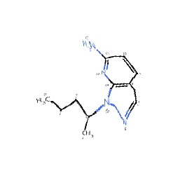 CCCC(C)n1ncc2ccc(N)nc21